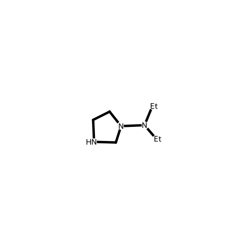 CCN(CC)N1CCNC1